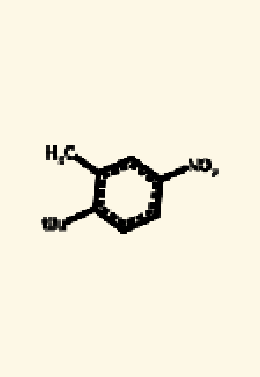 Cc1cc([N+](=O)[O-])ccc1C(C)(C)C